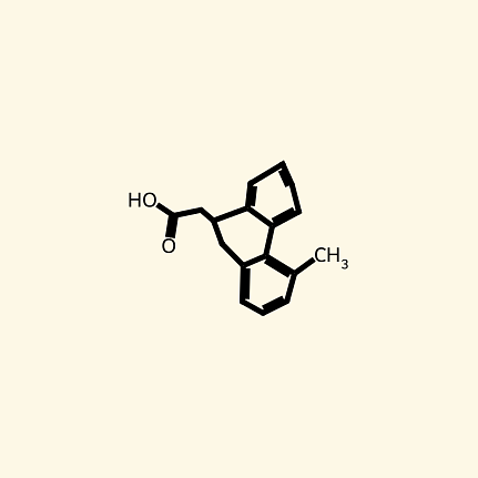 Cc1cccc2c1-c1ccccc1C(CC(=O)O)C2